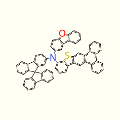 c1ccc2c(c1)-c1ccccc1C21c2ccccc2-c2ccc(N(c3ccc4oc5ccccc5c4c3)c3cccc4c3sc3cc5c6ccccc6c6ccccc6c5cc34)cc21